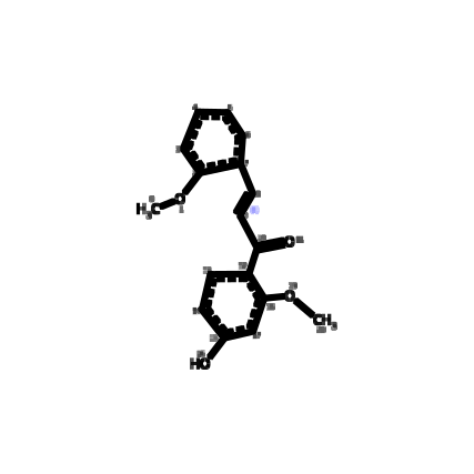 COc1ccccc1/C=C/C(=O)c1ccc(O)cc1OC